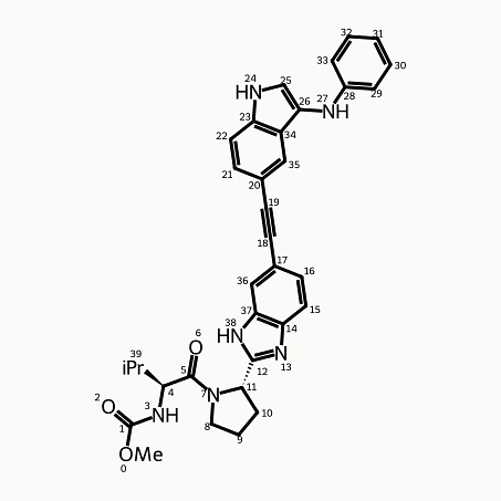 COC(=O)N[C@H](C(=O)N1CCC[C@H]1c1nc2ccc(C#Cc3ccc4[nH]cc(Nc5ccccc5)c4c3)cc2[nH]1)C(C)C